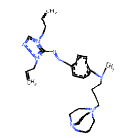 C=CCn1cn[n+](CC=C)c1N=Nc1ccc(N(C)CCC[N+]23CCN(CC2)CC3)cc1